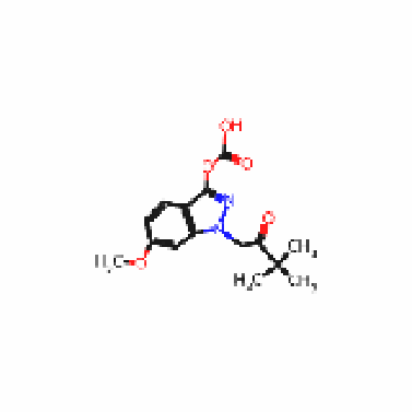 COc1ccc2c(OC(=O)O)nn(CC(=O)C(C)(C)C)c2c1